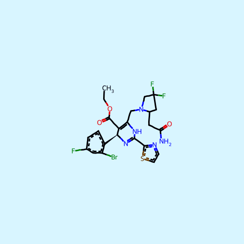 CCOC(=O)C1=C(CN2CC(F)(F)CC2CC(N)=O)NC(c2nccs2)=N[C@H]1c1ccc(F)cc1Br